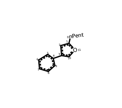 CCCCCc1cc(-c2ccccc2)co1